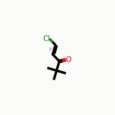 CC(C)(C)C(=O)/C=C/Cl